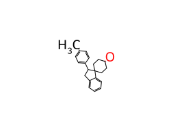 Cc1ccc(C2Cc3ccccc3C23CCC(=O)CC3)cc1